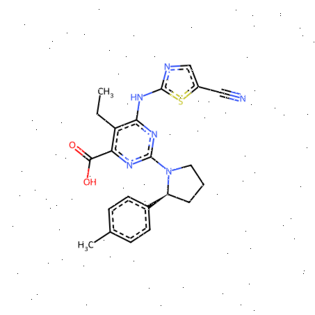 CCc1c(Nc2ncc(C#N)s2)nc(N2CCC[C@H]2c2ccc(C)cc2)nc1C(=O)O